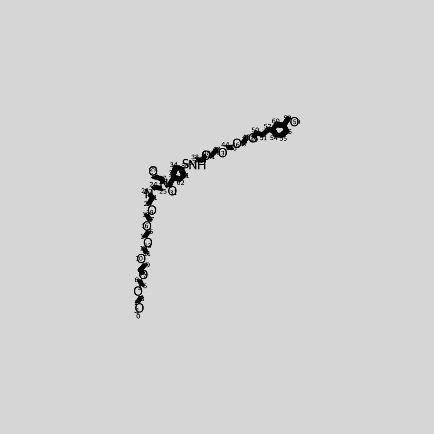 COCCOCCOCCOCCOCCOCCOCCN(C)CCN(CC=O)C(=O)c1ccc(SNCCOCCOCCOCCOCCCc2cccc(C=O)c2)cc1